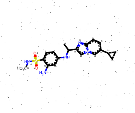 CC(Nc1ccc(S(=O)(=O)NC(=O)O)c(N)c1)c1cn2cc(C3CC3)ccc2n1